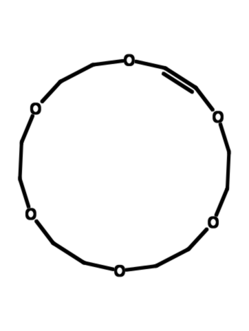 C1=COCCOCCOCCOCCOCCO1